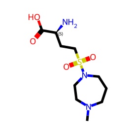 CN1CCCN(S(=O)(=O)CC[C@H](N)C(=O)O)CC1